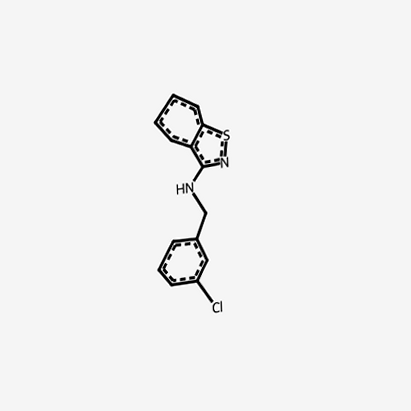 Clc1cccc(CNc2nsc3ccccc23)c1